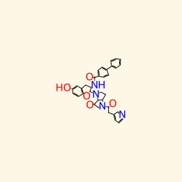 O=C(NC(Cc1cccc(O)c1)C(=O)N1CCC2C1C(=O)CN2C(=O)Cc1cccnc1)c1ccc(-c2ccccc2)cc1